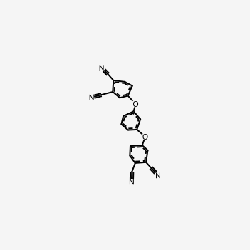 N#Cc1ccc(Oc2cccc(Oc3ccc(C#N)c(C#N)c3)c2)cc1C#N